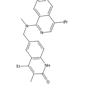 CCc1c(C)c(=O)[nH]c2ccc(CN(C)c3ncc(C(C)C)c4ccccc34)cc12